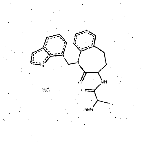 CNC(C)C(=O)NC1CCc2ccccc2N(Cc2cccc3ccsc23)C1=O.Cl